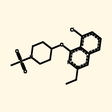 CCc1cc2cccc(Cl)c2c(OC2CCN(S(C)(=O)=O)CC2)n1